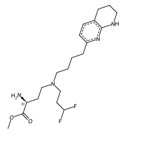 COC(=O)[C@@H](N)CCN(CCCCc1ccc2c(n1)NCCC2)CCC(F)F